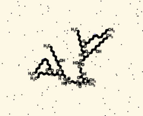 CCCCCC/C=C\CCCC(=O)O[C@H](CCCCCCC)CC(=O)NC(COCC[C@H](O)CCCCCCC)COP(=O)(O)OCCNC(=O)[C@H]1OC(C)(C)O[C@@H]1C(=O)NCCOP(=O)(O)OCC(COCC[C@H](O)CCCCCCC)NC(=O)C[C@@H](CCCCCCC)OC(=O)CCC/C=C\CCCCCC